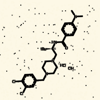 CN(C)c1ccc(C(=O)N[C@H](CN2CCN(Cc3ccc(Cl)c(Cl)c3)CC2)C(C)(C)C)cc1.Cl.Cl